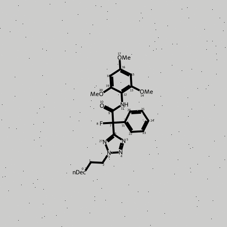 CCCCCCCCCCCCn1nnc(C(F)(C(=O)Nc2c(OC)cc(OC)cc2OC)c2ccccc2)n1